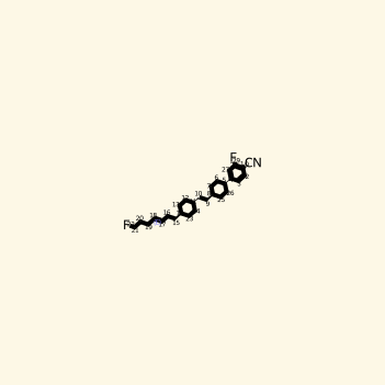 N#Cc1ccc([C@H]2CC[C@H](CC[C@H]3CC[C@H](CC/C=C/CCCF)CC3)CC2)cc1F